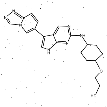 OCCOC1CCC(Nc2ncc3c(-c4ccc5nncn5c4)c[nH]c3n2)CC1